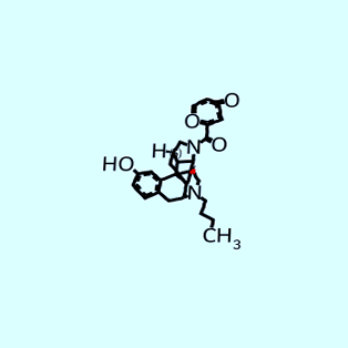 CCCCN1CCC23c4cc(O)ccc4CC1C21CCC2C3[C@@H](CN2C(=O)c2cc(=O)cco2)C1